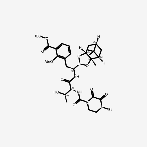 CCN1CCN(C(=O)N[C@@H](C(=O)N[C@@H](Cc2cccc(C(=O)OC(C)(C)C)c2OC)B2O[C@@H]3C[C@@H]4C[C@@H](C4(C)C)[C@]3(C)O2)[C@@H](C)O)C(=O)C1=O